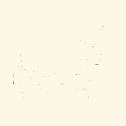 Cc1ccc(F)c2cc(C(=O)Nc3cc(F)cc(N4CCN(C5CC5)C(=O)C4)c3)[nH]c12